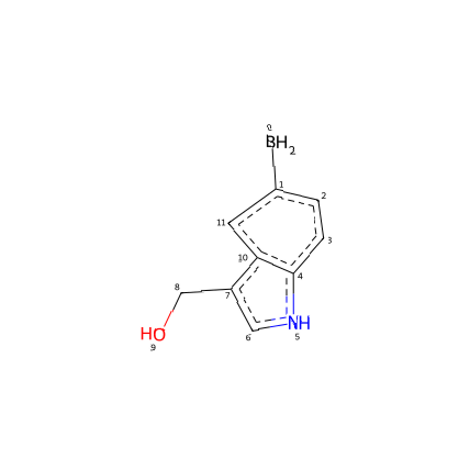 Bc1ccc2[nH]cc(CO)c2c1